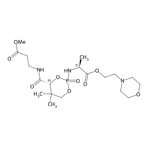 COC(=O)CCNC(=O)[C@@H]1OP(=O)(N[C@@H](C)C(=O)OCCN2CCOCC2)OCC1(C)C